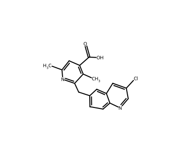 Cc1cc(C(=O)O)c(C)c(Cc2ccc3ncc(Cl)cc3c2)n1